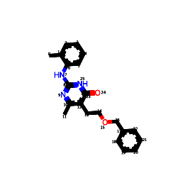 Cc1ccccc1Nc1nc(C)c(CCOCc2ccccc2)c(=O)[nH]1